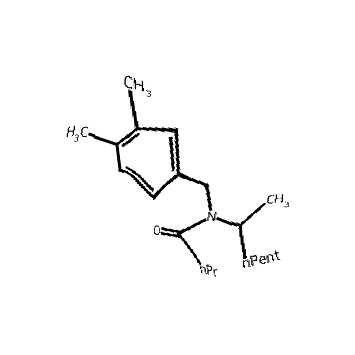 CCCCCC(C)N(Cc1ccc(C)c(C)c1)C(=O)CCC